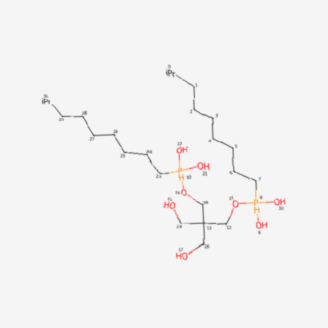 CC(C)CCCCCCC[PH](O)(O)OCC(CO)(CO)CO[PH](O)(O)CCCCCCCC(C)C